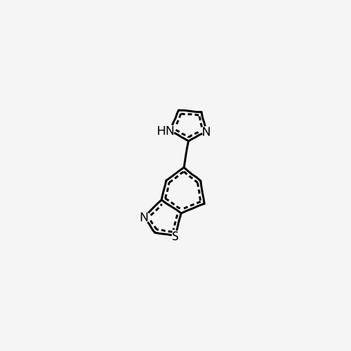 c1c[nH]c(-c2ccc3scnc3c2)n1